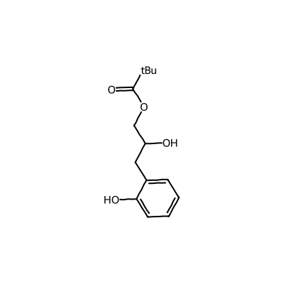 CC(C)(C)C(=O)OCC(O)Cc1ccccc1O